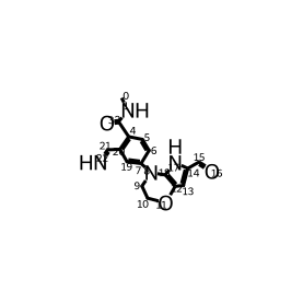 CNC(=O)c1ccc(N2CCOc3cc(C=O)[nH]c32)cc1C=N